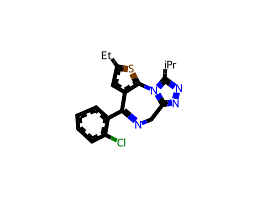 CCc1cc2c(s1)-n1c(nnc1C(C)C)CN=C2c1ccccc1Cl